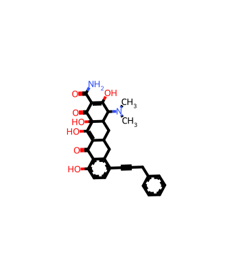 CN(C)C1C(O)=C(C(N)=O)C(=O)C2(O)C(O)=C3C(=O)c4c(O)ccc(C#CCc5ccccc5)c4CC3CC12